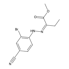 CCC(=NNc1ccc(C#N)cc1Br)C(=O)OC